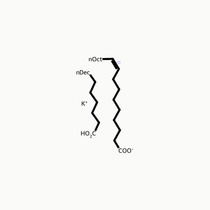 CCCCCCCC/C=C\CCCCCCCC(=O)[O-].CCCCCCCCCCCCCCCC(=O)O.[K+]